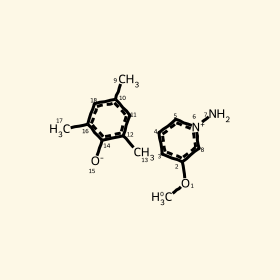 COc1ccc[n+](N)c1.Cc1cc(C)c([O-])c(C)c1